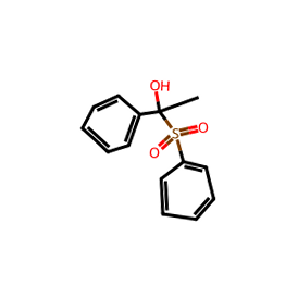 CC(O)(c1ccccc1)S(=O)(=O)c1ccccc1